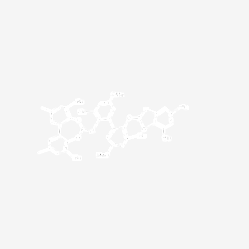 COc1cc(-c2cc(OC)cc(C(C)(C)C)c2Op2oc3c(C(C)(C)C)cc(C)cc3c3cc(C)cc(C(C)(C)C)c3o2)c(OP2Oc3cc(C(C)(C)C)cc(C(C)(C)C)c3O2)c(C(C)(C)C)c1